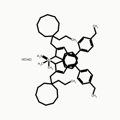 CCCC1(CC2=Cc3c(-c4ccc(CC)cc4)cccc3[CH]2[Zr]([CH3])([CH3])(=[SiH2])[CH]2C(CC3(CCC)CCCCCCCC3)=Cc3c(-c4ccc(CC)cc4)cccc32)CCCCCCCC1.Cl.Cl